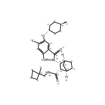 COc1cc(F)c(O[C@H]2CC[C@H](C)CC2)cc1C(=O)N[C@@H]1[C@H]2CC[C@H](C2)[C@@H]1C(=O)NCC1(C)CCC1